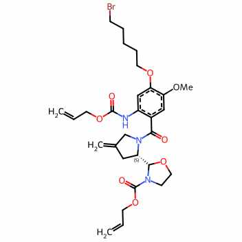 C=CCOC(=O)Nc1cc(OCCCCCBr)c(OC)cc1C(=O)N1CC(=C)C[C@H]1C1OCCN1C(=O)OCC=C